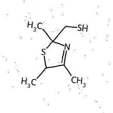 CC1=NC(C)(CS)SC1C